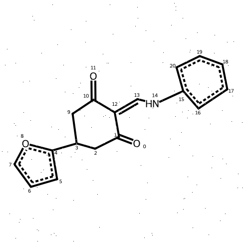 O=C1CC(c2ccco2)CC(=O)C1=CNc1ccccc1